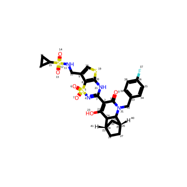 O=C1C(C2=NS(=O)(=O)c3c(CNS(=O)(=O)C4CC4)csc3N2)=C(O)C2C([C@@H]3CC[C@H]2C3)N1Cc1ccc(F)cc1